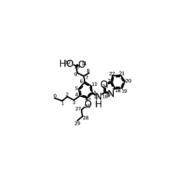 CCCCc1cc(C(C)CC(=O)O)cc(Nc2nc3ccccc3o2)c1OCCC